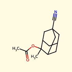 CC(=O)OC1(C)C2CC3CC1CC(C#N)(C3)C2